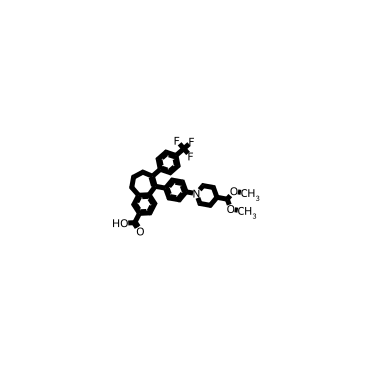 COC(OC)C1CCN(c2ccc(C3=C(c4ccc(C(F)(F)F)cc4)CCCc4cc(C(=O)O)ccc43)cc2)CC1